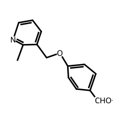 Cc1ncccc1COc1ccc([C]=O)cc1